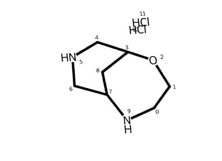 C1COC2CNCC(C2)N1.Cl.Cl